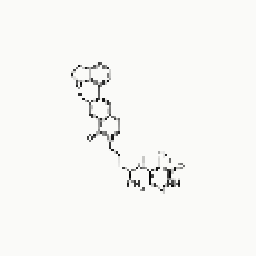 CC(CCCn1ccc2cc(-c3cccc4c3OCC4)c(F)cc2c1=O)Nc1cn[nH]c(=O)c1C(F)(F)F